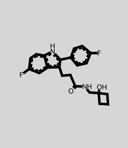 O=C(CCc1c(-c2ccc(F)cc2)[nH]c2ccc(F)cc12)NCC1(O)CCC1